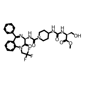 COC(=O)[C@H](CO)NC(=O)NC1CCN(C(=O)N[C@@H]2N=C(c3ccccc3)c3ccccc3N(CC(F)(F)F)C2=O)CC1